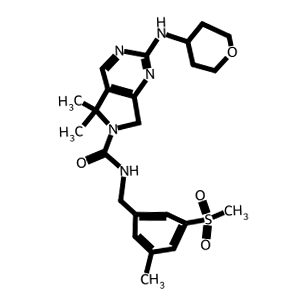 Cc1cc(CNC(=O)N2Cc3nc(NC4CCOCC4)ncc3C2(C)C)cc(S(C)(=O)=O)c1